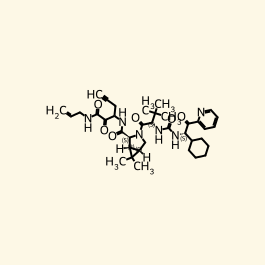 C#CCC(NC(=O)[C@@H]1[C@@H]2[C@H](CN1C(=O)[C@@H](NC(=O)N[C@H](C(=O)c1ccccn1)C1CCCCC1)C(C)(C)C)C2(C)C)C(=O)C(=O)NCC=C